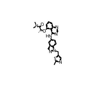 Cc1ncc(Cn2ncc3cc(Nc4ncnc5cccc(O[C@H](C)C(=O)N(C)C)c45)ccc32)s1